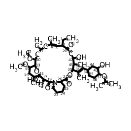 CCC1/C=C(\C)CC(C)CC(OC)C2OC(O)(C(=O)C(=O)N3CCCCC3C(=O)OC(C(C)=CC3CCC(OC(C)C)C(O)C3)C(C)C(O)CC1=O)C(C)CC2OC